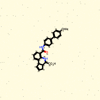 COc1ccc(-c2ccc(NC(=O)c3cccc4c3NC(C(=O)O)C3CC=CC43)cc2)cc1